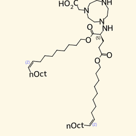 CCCCCCCC/C=C\CCCCCCCCOC(=O)CC[C@H](NN1CCNCCN(CC(=O)O)CC1)C(=O)OCCCCCCCC/C=C\CCCCCCCC